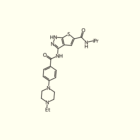 CCN1CCN(c2ccc(C(=O)Nc3n[nH]c4sc(C(=O)NC(C)C)cc34)cc2)CC1